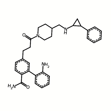 NC(=O)c1ccc(CCC(=O)N2CCC(CNC3CC3c3ccccc3)CC2)cc1-c1ccccc1N